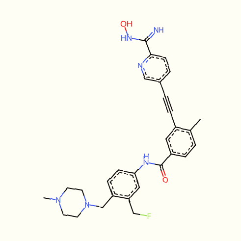 Cc1ccc(C(=O)Nc2ccc(CN3CCN(C)CC3)c(CF)c2)cc1C#Cc1ccc(C(=N)NO)nc1